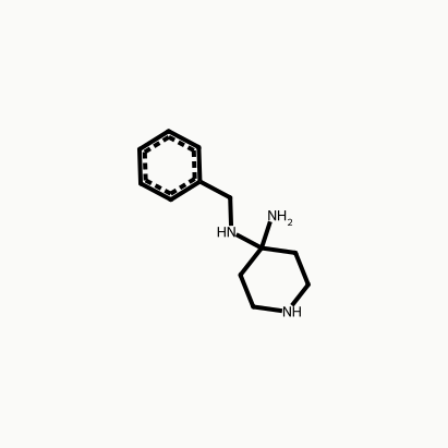 NC1(NCc2ccccc2)CCNCC1